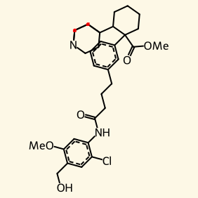 COC(=O)C1(c2cccc(CCCC(=O)Nc3cc(OC)c(CO)cc3Cl)c2)CCCCC1C12CCN(CC1)CC2